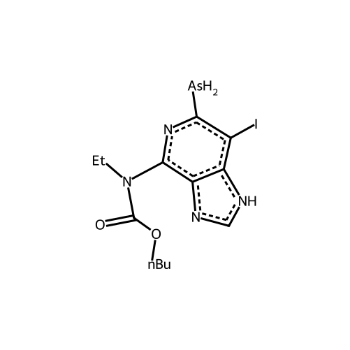 CCCCOC(=O)N(CC)c1nc([AsH2])c(I)c2[nH]cnc12